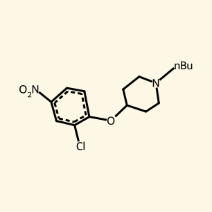 CCCCN1CCC(Oc2ccc([N+](=O)[O-])cc2Cl)CC1